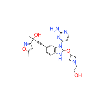 Cc1cc(C(C)(O)C#Cc2ccc3c(c2)N(c2ccnc(N)n2)C(OC2CN(CCO)C2)N3)no1